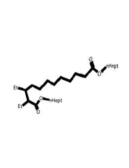 CCCCCCCOC(=O)CCCCCCCCC(CC)C(CC)C(=O)OCCCCCCC